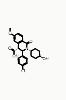 COc1ccc2c(c1)[C@@H](C(=O)O)[C@H](c1ccc(Cl)cc1)N([C@H]1CC[C@H](O)CC1)C2=O